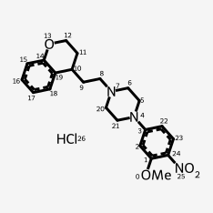 COc1cc(N2CCN(CCC3CCOc4ccccc43)CC2)ccc1[N+](=O)[O-].Cl